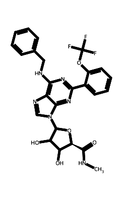 CNC(=O)[C@@H]1OC(n2cnc3c(NCc4ccccc4)nc(-c4ccccc4OC(F)(F)F)nc32)C(O)C1O